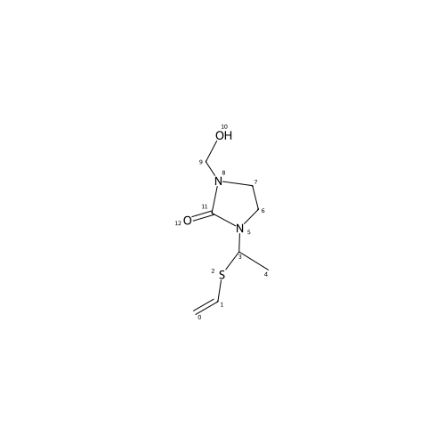 C=CSC(C)N1CCN(CO)C1=O